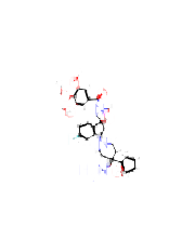 COc1cc(C(=O)N2COC(CCN3CCC(C(N)=O)(c4ccccc4)CC3)(c3ccc(F)cc3)C2)cc(OC)c1OC